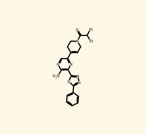 CCC(CC)C(=O)N1CC=C(c2cnc(N)c(-c3nnc(-c4ccccc4)o3)n2)CC1